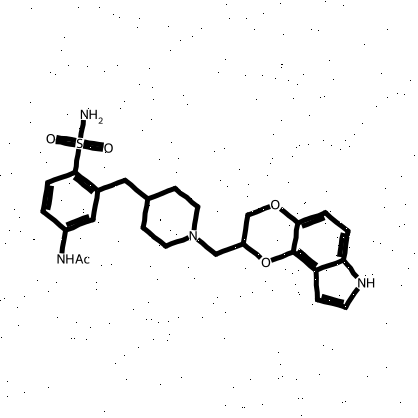 CC(=O)Nc1ccc(S(N)(=O)=O)c(CC2CCN(CC3COc4ccc5[nH]ccc5c4O3)CC2)c1